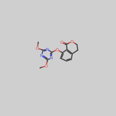 COc1nc(OC)nc(Oc2cccc3c2C(=O)OCC3)n1